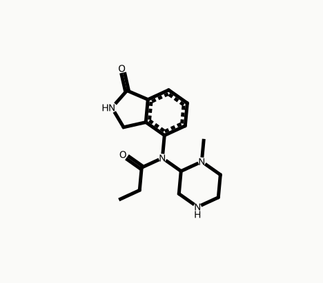 CCC(=O)N(c1cccc2c1CNC2=O)C1CNCCN1C